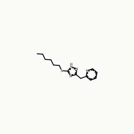 CCCCCCSc1nc(Cc2ccccn2)n[nH]1